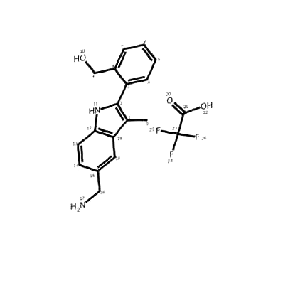 Cc1c(-c2ccccc2CO)[nH]c2ccc(CN)cc12.O=C(O)C(F)(F)F